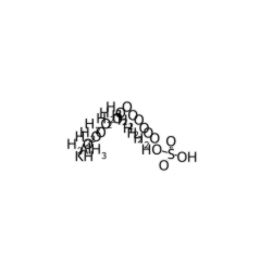 O.O.O.O.O.O.O.O.O.O.O.O.O=S(=O)(O)O.[AlH3].[KH]